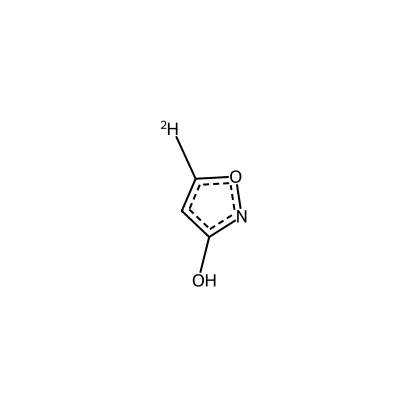 [2H]c1cc(O)no1